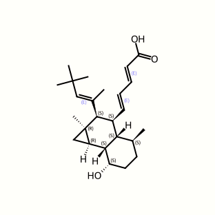 C/C(=C\C(C)(C)C)[C@H]1[C@@H](/C=C/C=C/C(=O)O)[C@H]2[C@@H]([C@H]3C[C@]31C)[C@@H](O)CC[C@@H]2C